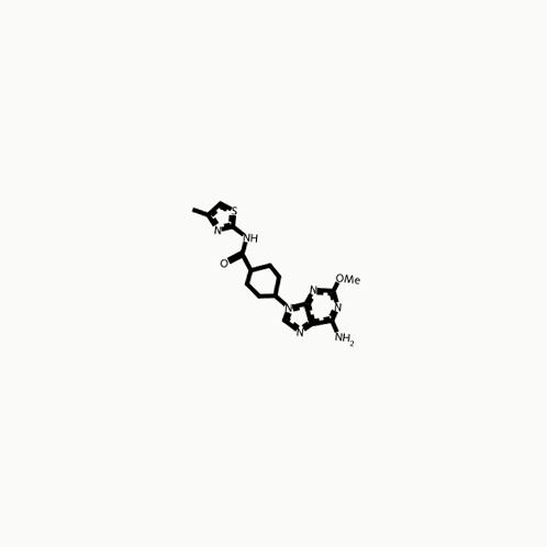 COc1nc(N)c2ncn(C3CCC(C(=O)Nc4nc(C)cs4)CC3)c2n1